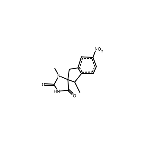 CC1c2ccc([N+](=O)[O-])cc2CC12C(=O)NC(=O)N2C